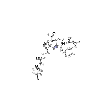 CC(=O)SC1CCN(C(C(=O)C2CC2)c2ccccc2F)C/C1=C/c1cnnn1CCCC(=O)NO[Si](C)(C)C(C)(C)C